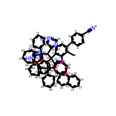 Cc1c(-c2ccc(C#N)cc2)ccc2c1N(Cc1cccc3ccccc13)C(=O)C2(C(c1c[nH]cn1)C(c1ccccc1)(c1ccccc1)c1ccccc1)C(c1c[nH]cn1)C(c1ccccc1)(c1ccccc1)c1ccccc1